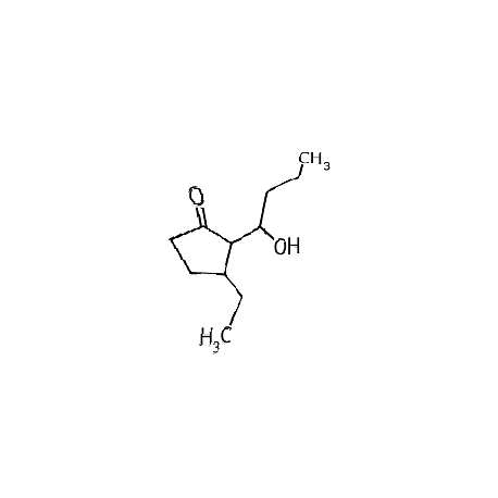 CCCC(O)C1C(=O)CCC1CC